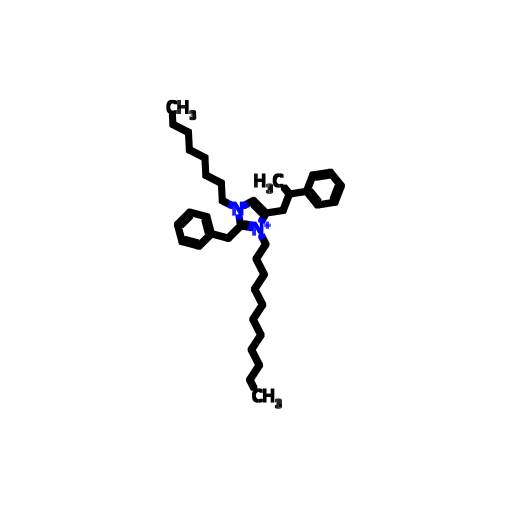 CCCCCCCCCCC[n+]1c(CC(C)c2ccccc2)cn(CCCCCCCC)c1Cc1ccccc1